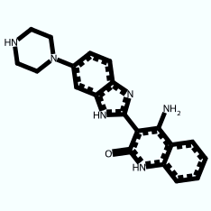 Nc1c(-c2nc3ccc(N4CCNCC4)cc3[nH]2)c(=O)[nH]c2ccccc12